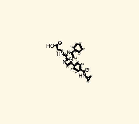 O=C(O)CCNc1nc(-c2ccccc2)cn2c(-c3ccc(C(=O)NC4CC4)cc3)cnc12